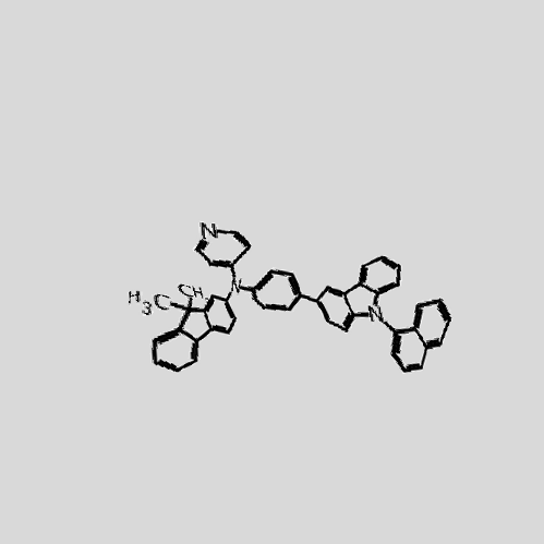 CC1(C)c2ccccc2-c2ccc(N(c3ccncc3)c3ccc(-c4ccc5c(c4)c4ccccc4n5-c4cccc5ccccc45)cc3)cc21